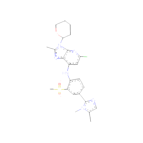 Cc1cnc(-c2ccc(Nc3cc(Cl)nc4c3nc(C)n4C3CCCCO3)c(S(C)(=O)=O)c2)n1C